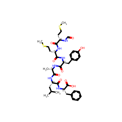 CSCC[C@H](NC=O)C(=O)N[C@@H](CCSC)C(=O)N[C@@H](Cc1ccc(O)cc1)C(=O)N[C@@H](C)C(=O)N[C@@H](CC(C)C)C(=O)N[C@@H](Cc1ccccc1)C(=O)O